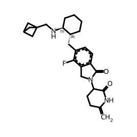 C=C1CCC(N2Cc3c(ccc(C[C@H]4CCCC[C@@H]4NCC45CC(C4)C5)c3F)C2=O)C(=O)N1